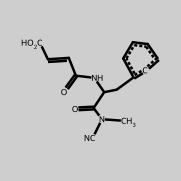 CN(C#N)C(=O)C(Cc1ccccc1)NC(=O)C=CC(=O)O